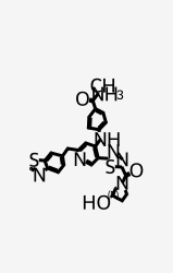 CNC(=O)c1ccc(Nc2cc(Cc3ccc4ncsc4c3)ncc2-c2nnc(C(=O)N3CC[C@@H](O)C3)s2)cc1